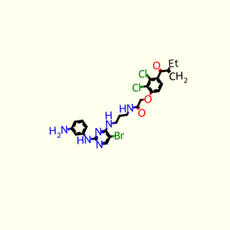 C=C(CC)C(=O)c1ccc(OCC(=O)NCCCNc2nc(Nc3cccc(N)c3)ncc2Br)c(Cl)c1Cl